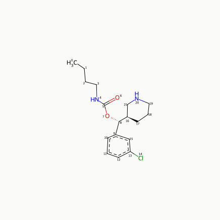 CCCCNC(=O)O[C@@H](c1cccc(Cl)c1)[C@@H]1CCCNC1